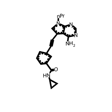 CCCn1cc(C#Cc2cccc(C(=O)NC3CC3)c2)c2c(N)ncnc21